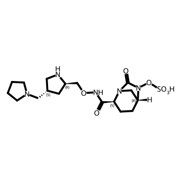 O=C(NOC[C@H]1C[C@H](CN2CCCC2)CN1)[C@@H]1CC[C@@H]2CN1C(=O)N2OS(=O)(=O)O